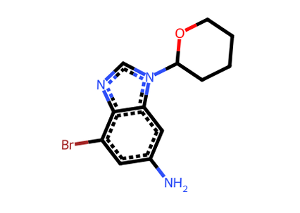 Nc1cc(Br)c2ncn(C3CCCCO3)c2c1